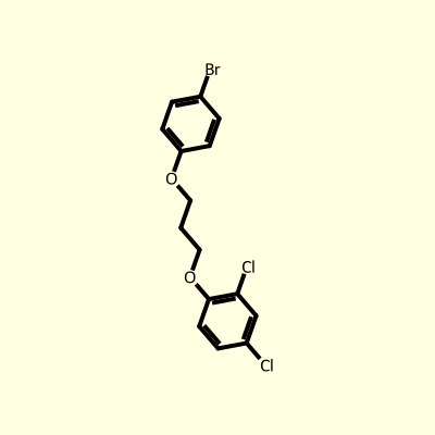 Clc1ccc(OCCCOc2ccc(Br)cc2)c(Cl)c1